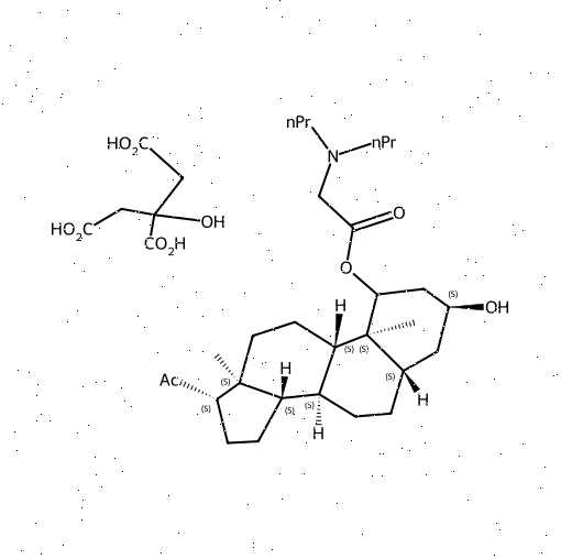 CCCN(CCC)CC(=O)OC1C[C@@H](O)C[C@@H]2CC[C@H]3[C@@H]4CC[C@H](C(C)=O)[C@@]4(C)CC[C@@H]3[C@@]12C.O=C(O)CC(O)(CC(=O)O)C(=O)O